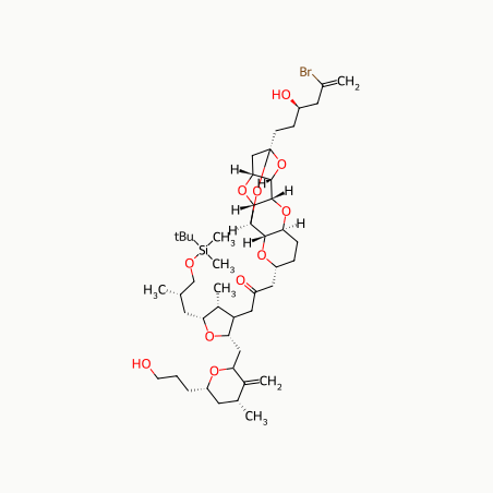 C=C(Br)C[C@H](O)CC[C@@]12C[C@H]3O[C@H]4[C@@H](O1)[C@H]1O[C@@H](CC(=O)CC5[C@H](CC6O[C@@H](CCCO)C[C@@H](C)C6=C)O[C@H](C[C@H](C)CO[Si](C)(C)C(C)(C)C)[C@@H]5C)CC[C@@H]1O[C@H]4[C@H]3O2